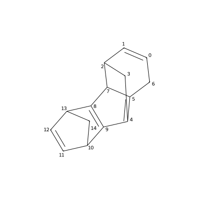 C1=CC2CC3=C(C1)C2C1=C3C2C=CC1C2